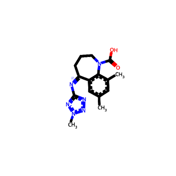 Cc1cc(C)c2c(c1)/C(=N\c1nnn(C)n1)CCCN2C(=O)O